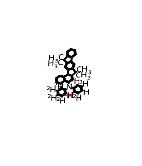 [2H]c1c([2H])c([2H])c(N(c2c([2H])c([2H])c([2H])c([2H])c2[2H])c2cc3c(c4ccccc24)-c2cc4c(cc2C3(C)C)-c2ccccc2C4(C)C)c([2H])c1[2H]